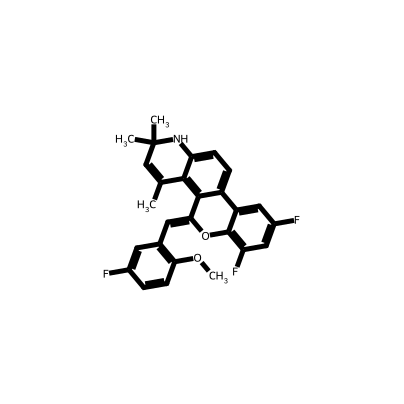 COc1ccc(F)cc1C=C1Oc2c(F)cc(F)cc2-c2ccc3c(c21)C(C)=CC(C)(C)N3